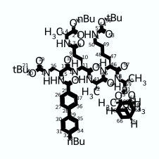 CCCCOC(=O)[C@@H](C)NC(=O)CC[C@H](NC(=O)[C@H](CNC(=O)OC(C)(C)C)NC(=O)c1ccc(-c2ccc(CCCC)cc2)cc1)C(=O)N[C@@H](C)C(=O)N[C@@H](CCCCNC(=O)OC(C)(C)C)C(=O)N[C@@H](C)B1O[C@@H]2C[C@@H]3C[C@@H](C3(C)C)[C@]2(C)O1